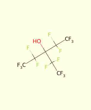 OC(C(F)(F)C(F)(F)F)(C(F)(F)C(F)(F)F)C(F)(F)C(F)(F)F